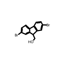 OCC1c2cc(Br)ccc2-c2ccc(Br)cc21